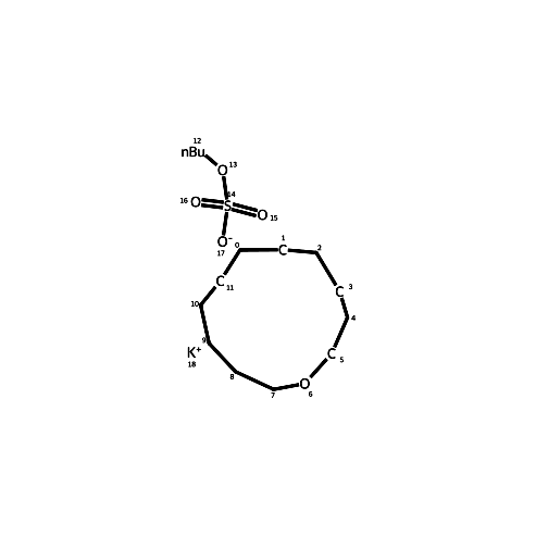 C1CCCCCOCCCCC1.CCCCOS(=O)(=O)[O-].[K+]